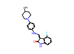 CCCC1CCN(c2ccc(NC=C3C(=O)Nc4cccc(F)c43)cc2)CC1